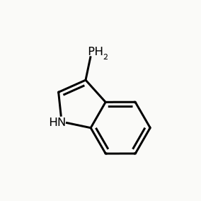 Pc1c[nH]c2ccccc12